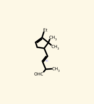 CCC1=CCC(/C=C/C(C)C=O)C1(C)C